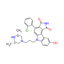 C[C@@H]1CN(CCCn2c3ccc(O)cc3c3c4c(c(-c5ccccc5Cl)cc32)C(=O)NC4=O)C[C@H](C)N1